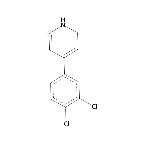 Clc1ccc(C2=CCN[C]=C2)cc1Cl